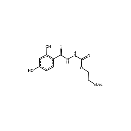 CCCCCCCCCCCCOC(=O)NNC(=O)c1ccc(O)cc1O